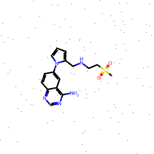 CS(=O)(=O)CCNCc1cccn1-c1ccc2ncnc(N)c2c1